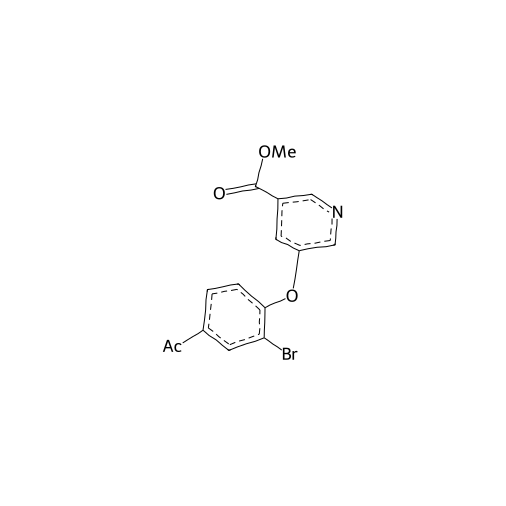 COC(=O)c1cncc(Oc2ccc(C(C)=O)cc2Br)c1